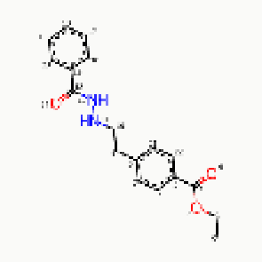 CCOC(=O)c1ccc(CCNNC(=O)c2ccccc2)cc1